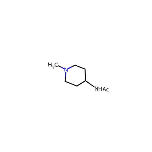 [CH2]C(=O)NC1CCN(C)CC1